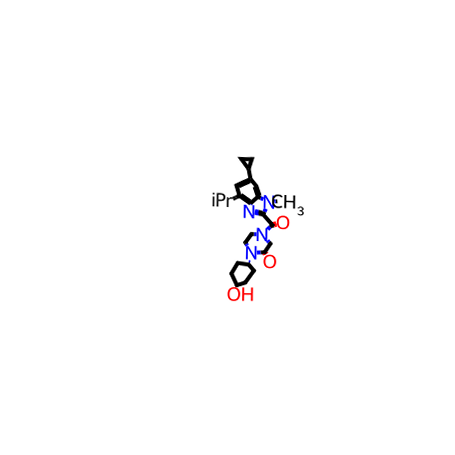 CC(C)c1cc(C2CC2)cc2c1nc(C(=O)N1CCN([C@H]3CC[C@H](O)CC3)C(=O)C1)n2C